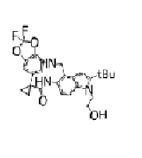 CC(C)(C)c1cc2c(C=N)c(NC(=O)C3(c4ccc5c(c4)OC(F)(F)O5)CC3)ccc2n1CCO